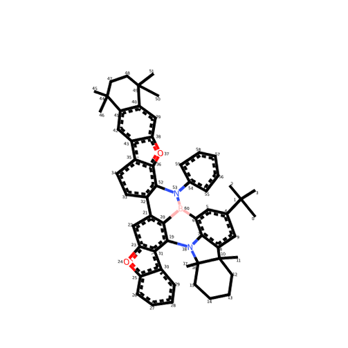 CC(C)(C)c1cc2c3c(c1)C1(C)CCCCC1(C)N3c1c3c(cc4oc5ccccc5c14)-c1ccc4c(oc5cc6c(cc54)C(C)(C)CCC6(C)C)c1N(c1ccccc1)B23